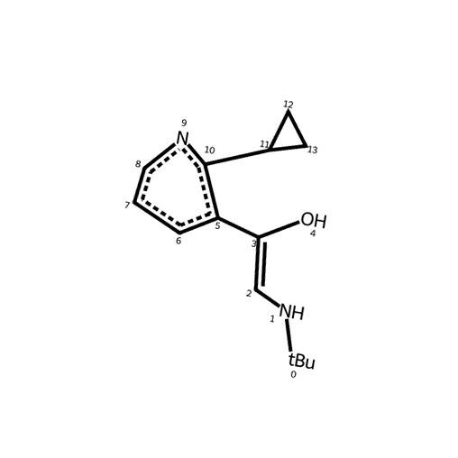 CC(C)(C)N/C=C(\O)c1cccnc1C1CC1